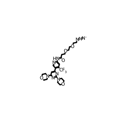 [N-]=[N+]=NCCOCCOCCC(=O)Nc1cc(C(F)(F)F)c(-c2cc(N3CCOCC3)nc(N3CCOCC3)n2)cn1